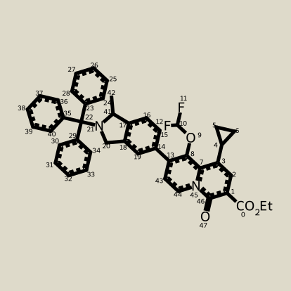 CCOC(=O)c1cc(C2CC2)c2c(OC(F)F)c(-c3ccc4c(c3)CN(C(c3ccccc3)(c3ccccc3)c3ccccc3)C4C)ccn2c1=O